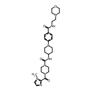 Cn1ccnc1C(=O)N1CCN(C(=O)NC2CCN(c3ccc(C(=O)NCCN4CCOCC4)cc3)CC2)CC1